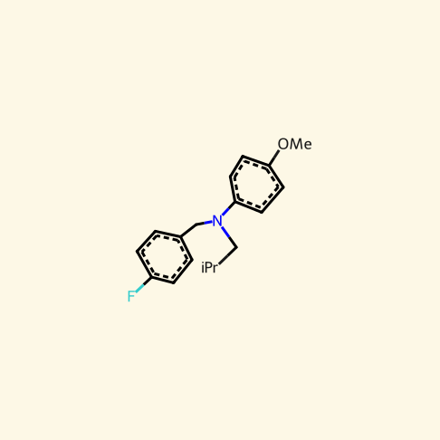 COc1ccc(N(Cc2ccc(F)cc2)CC(C)C)cc1